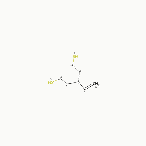 C=CC(CCS)CCS